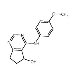 COc1ccc(Nc2ncnc3c2C(O)CC3)cc1